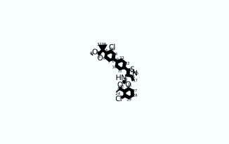 COC(=O)C1(c2ccc(-c3ccc(-c4snc(C)c4NC(=O)O[C@H](C)c4ccccc4Cl)cc3)cc2Cl)CC1